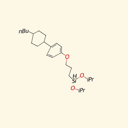 CCCCC1CCC(c2ccc(OCCC[SiH](OC(C)C)OC(C)C)cc2)CC1